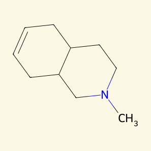 CN1CCC2CC=CCC2C1